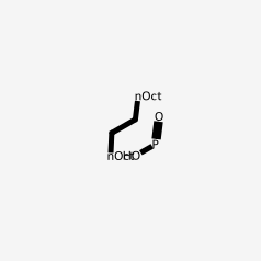 CCCCCCCCCCCCCCCCCC.O=PO